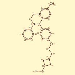 Cc1ccc2c(c1)CCN(c1ccccc1)C2c1ccc(OCCN2CC(CF)C2)cc1